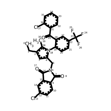 CCc1cc(CN2C(=O)c3ccc(Cl)cc3C2=O)n(-c2ccc(C(F)(F)F)cc2C(=O)c2ccccc2Cl)c1C